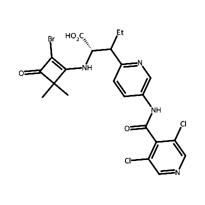 CCC(c1ccc(NC(=O)c2c(Cl)cncc2Cl)cn1)[C@H](NC1=C(Br)C(=O)C1(C)C)C(=O)O